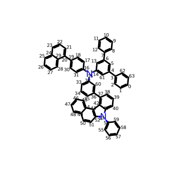 c1ccc(-c2cc(-c3ccccc3)cc(N(c3ccc(-c4cccc5ccccc45)cc3)c3cccc(-c4cccc5c4c4c6ccccc6ccc4n5-c4ccccc4)c3)c2)cc1